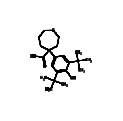 CC(C)(C)c1cc(C2(C(=O)O)CCCSCC2)cc(C(C)(C)C)c1O